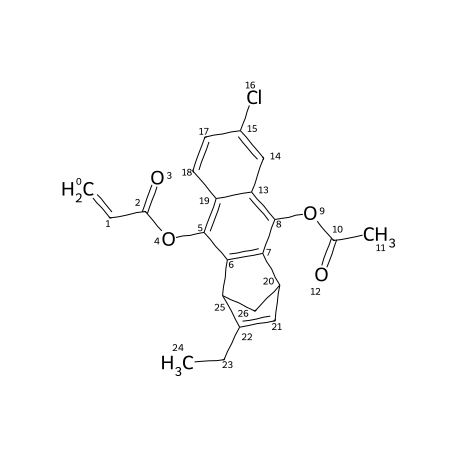 C=CC(=O)Oc1c2c(c(OC(C)=O)c3cc(Cl)ccc13)C1C=C(CC)C2C1